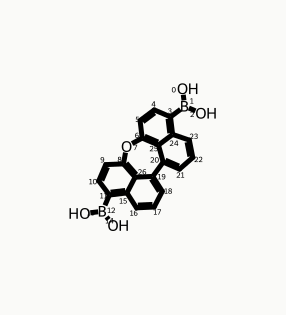 OB(O)c1ccc2oc3ccc(B(O)O)c4cccc(c5cccc1c25)c34